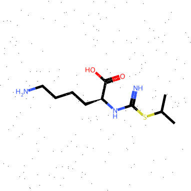 CC(C)SC(=N)N[C@@H](CCCCN)C(=O)O